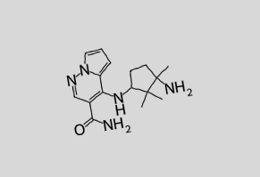 CC1(N)CCC(Nc2c(C(N)=O)cnn3cccc23)C1(C)C